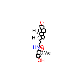 COC(=O)C(Cc1ccc(O)cc1)NC(=O)CCCC1CCC2C3CCC4CC(=O)CCC4(C)C3CCC12C